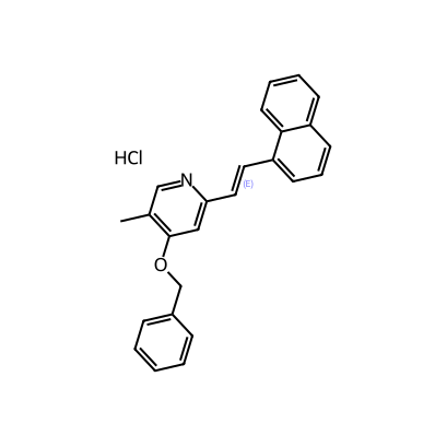 Cc1cnc(/C=C/c2cccc3ccccc23)cc1OCc1ccccc1.Cl